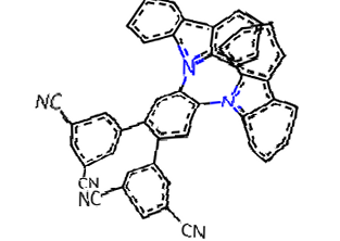 N#Cc1cc(C#N)cc(-c2cc(-n3c4ccccc4c4ccccc43)c(-n3c4ccccc4c4ccccc43)cc2-c2cc(C#N)cc(C#N)c2)c1